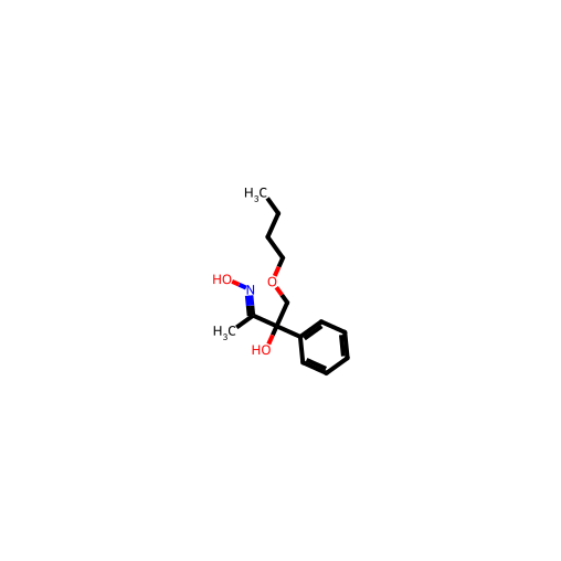 CCCCOCC(O)(C(C)=NO)c1ccccc1